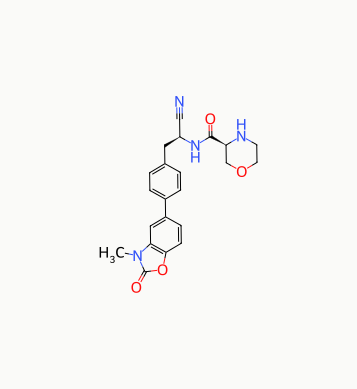 Cn1c(=O)oc2ccc(-c3ccc(C[C@@H](C#N)NC(=O)[C@@H]4COCCN4)cc3)cc21